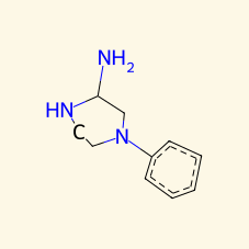 NC1CN(c2ccccc2)CCN1